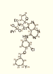 CCC(N(CC)S(=O)(=O)C(C)C)C1(c2cc3c(Nc4ccc(OCc5cccc(F)c5)c(Cl)c4)ncnc3cn2)CC=CO1